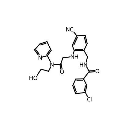 N#Cc1ccc(CNC(=O)c2cccc(Cl)c2)c(NCC(=O)N(CCO)c2ccccn2)c1